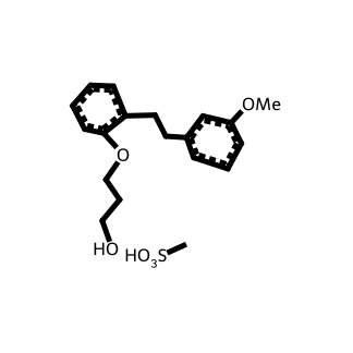 COc1cccc(CCc2ccccc2OCCCO)c1.CS(=O)(=O)O